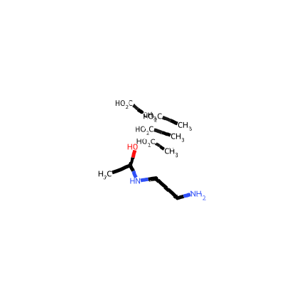 CC(=O)O.CC(=O)O.CC(=O)O.CC(=O)O.CC(O)NCCN